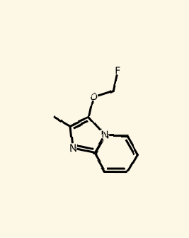 Cc1nc2ccccn2c1OCF